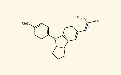 CSC1=CC=C(N2C3=C(C=C(/C=C(/C#N)C(=O)O)CC3)C3CCCC32)CC1